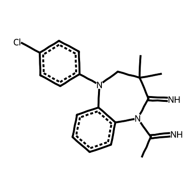 CC(=N)N1C(=N)C(C)(C)CN(c2ccc(Cl)cc2)c2ccccc21